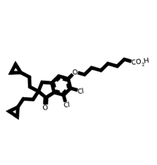 O=C(O)CCCCCCOc1cc2c(c(Cl)c1Cl)C(=O)C(CCC1CC1)(CCC1CC1)C2